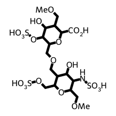 COCC1OC(COS(=O)(=O)O)C(COCC2OC(C(=O)O)C(COC)C(O)C2OS(=O)(=O)O)C(O)C1NS(=O)(=O)O